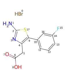 Br.Nc1nc(CC(=O)O)c(-c2cccc(F)c2)s1